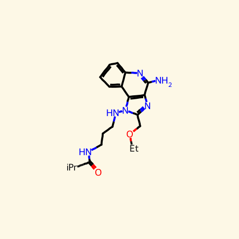 CCOCc1nc2c(N)nc3ccccc3c2n1NCCCNC(=O)C(C)C